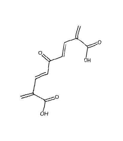 C=C(C=CC(=O)C=CC(=C)C(=O)O)C(=O)O